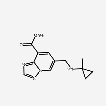 COC(=O)c1cc(CNC2(C)CC2)cn2ncnc12